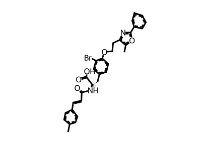 Cc1ccc(C=CC(=O)N[C@@H](Cc2ccc(OCCc3nc(-c4ccccc4)oc3C)c(Br)c2)C(=O)O)cc1